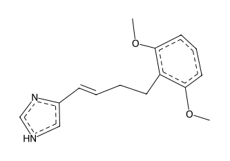 COc1cccc(OC)c1CCC=Cc1c[nH]cn1